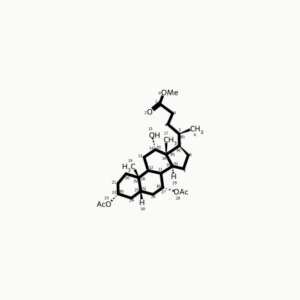 COC(=O)CC[C@@H](C)[C@H]1CC[C@H]2C3C(C[C@H](O)[C@]12C)[C@@]1(C)CC[C@@H](OC(C)=O)C[C@H]1C[C@H]3OC(C)=O